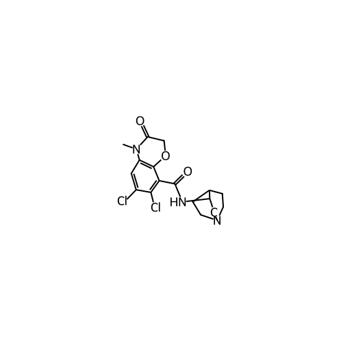 CN1C(=O)COc2c1cc(Cl)c(Cl)c2C(=O)NC1CN2CCC1CC2